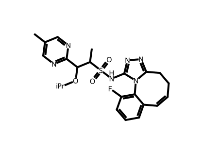 Cc1cnc(C(OC(C)C)C(C)S(=O)(=O)Nc2nnc3n2-c2c(F)cccc2C=CCC3)nc1